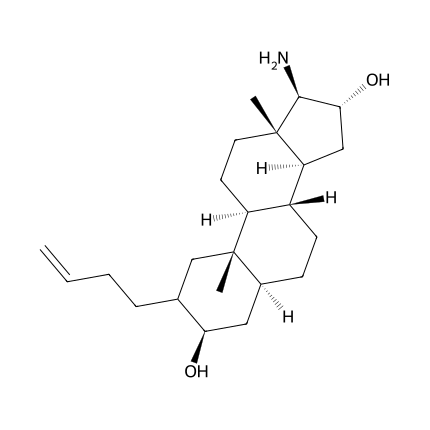 C=CCCC1C[C@@]2(C)[C@@H](CC[C@@H]3[C@@H]2CC[C@]2(C)[C@@H](N)[C@H](O)C[C@@H]32)C[C@H]1O